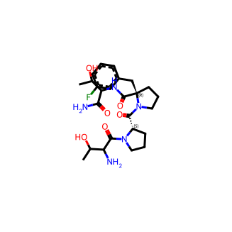 CC(O)C(N)C(=O)N1CCC[C@H]1C(=O)N1CCC[C@@]1(Cc1cccc(F)c1)C(=O)NC(C(N)=O)C(C)O